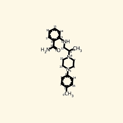 Cc1ccc(N2CCN(C(C)CNc3ccccc3C(N)=O)CC2)cc1